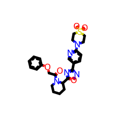 O=C(COc1ccccc1)N1CCCCC1c1nc(-c2ccc(N3CCS(=O)(=O)CC3)nc2)no1